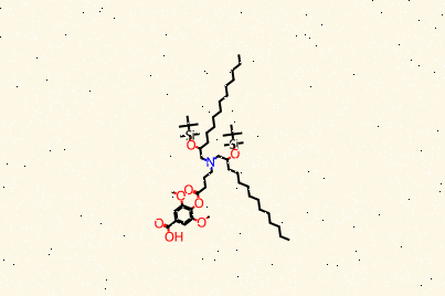 CCCCCCCCCCCCC(CN(CCCC(=O)Oc1c(OC)cc(C(=O)O)cc1OC)CC(CCCCCCCCCCCC)O[Si](C)(C)C(C)(C)C)O[Si](C)(C)C(C)(C)C